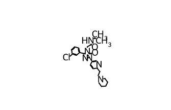 CC(C)NC(=O)Cn1c(-c2cccc(Cl)c2)nn(-c2ccc(CCN3CCCCC3)nc2)c1=O